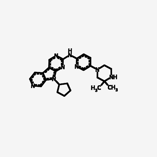 CC1(C)CN(c2ccc(Nc3ncc4c5ccncc5n(C5CCCC5)c4n3)nc2)CCN1